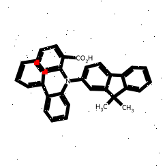 CC1(C)c2ccccc2-c2ccc(N(c3ccccc3C(=O)O)c3ccccc3-c3ccccc3)cc21